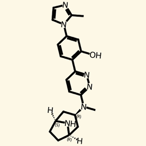 Cc1nccn1-c1ccc(-c2ccc(N(C)[C@H]3C[C@H]4CC[C@@H](C3)N4)nn2)c(O)c1